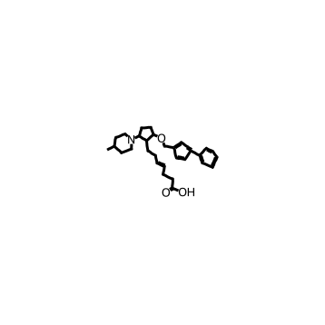 CC1CCN(C2CCC(OCc3ccc(-c4ccccc4)cc3)C2CCC=CCCC(=O)O)CC1